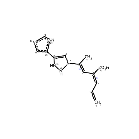 C=C/C=C(\C=C(/C)N1C=C(c2cnc[nH]2)NN1)C(=O)O